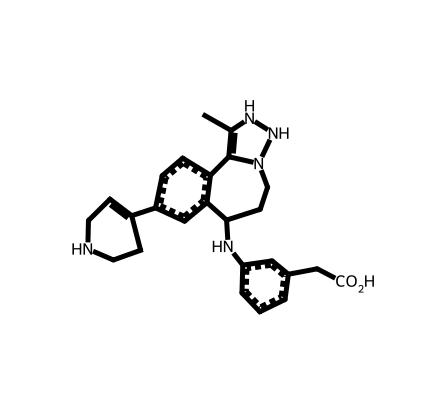 CC1=C2c3ccc(C4=CCNCC4)cc3C(Nc3cccc(CC(=O)O)c3)CCN2NN1